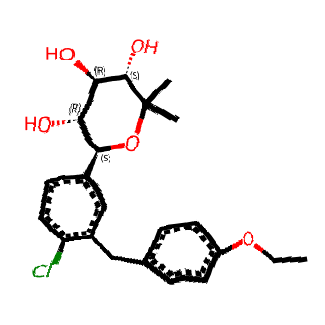 CCOc1ccc(Cc2cc([C@@H]3OC(C)(C)[C@@H](O)[C@H](O)[C@H]3O)ccc2Cl)cc1